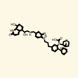 O=C(O)N(c1cc(CCCn2nnc3cc(CNC[C@H](O)c4ccc(O)c5[nH]c(=O)ccc45)ccc32)ccc1-c1ccccc1)[C@H]1CN2CCC1CC2